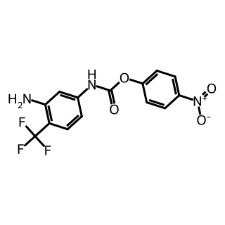 Nc1cc(NC(=O)Oc2ccc([N+](=O)[O-])cc2)ccc1C(F)(F)F